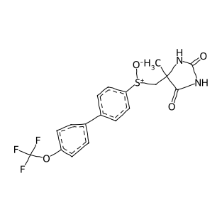 CC1(C[S+]([O-])c2ccc(-c3ccc(OC(F)(F)F)cc3)cc2)NC(=O)NC1=O